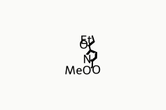 C/C=C(\OCC)c1ccc(C(=O)OC)nc1